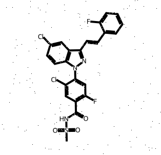 CS(=O)(=O)NC(=O)c1cc(Cl)c(-n2nc(C=Cc3ccccc3F)c3cc(Cl)ccc32)cc1F